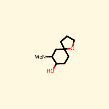 CNC1CC2(CCCO2)CCC1O